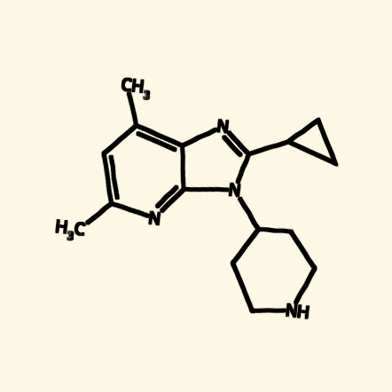 Cc1cc(C)c2nc(C3CC3)n(C3CCNCC3)c2n1